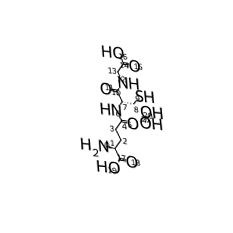 N[C@@H](CCC(=O)N[C@@H](CS)C(=O)NCC(=O)O)C(=O)O.OO